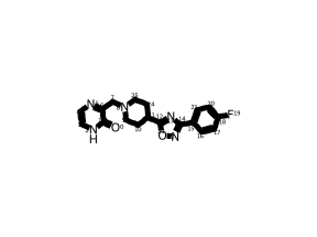 O=c1[nH]ccnc1CN1CCC(c2nc(-c3ccc(F)cc3)no2)CC1